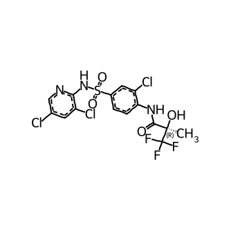 C[C@@](O)(C(=O)Nc1ccc(S(=O)(=O)Nc2ncc(Cl)cc2Cl)cc1Cl)C(F)(F)F